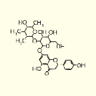 CC1OC(OC2C(Oc3cc(O)c4c(c3)O[C@H](c3ccc(O)cc3)CC4=O)OC(CO)C(O)C2O)C(C)C(C)C1O